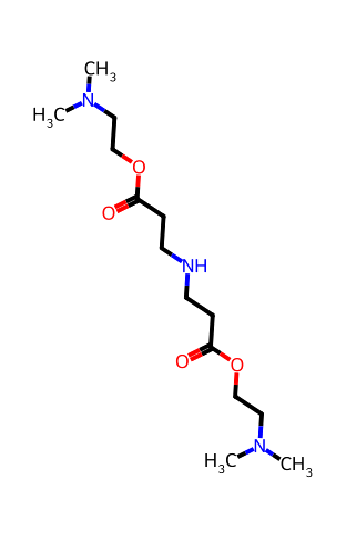 CN(C)CCOC(=O)CCNCCC(=O)OCCN(C)C